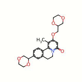 Cc1c(OCC2COCCO2)cc(=O)n2c1-c1ccc(C3COCCO3)cc1CC2